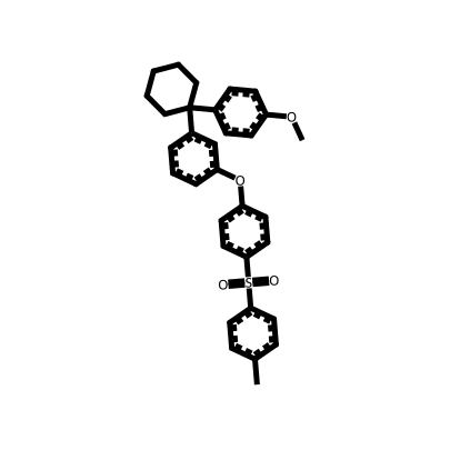 COc1ccc(C2(c3cccc(Oc4ccc(S(=O)(=O)c5ccc(C)cc5)cc4)c3)CCCCC2)cc1